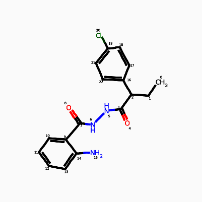 CCC(C(=O)NNC(=O)c1ccccc1N)c1ccc(Cl)cc1